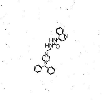 O=C(NCCN1CCN(C(c2ccccc2)c2ccccc2)CC1)Nc1ccnc2ccccc12